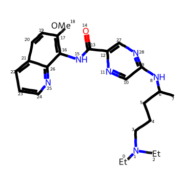 CCN(CC)CCCC(C)Nc1cnc(C(=O)Nc2c(OC)ccc3cccnc23)cn1